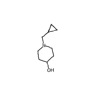 OC1CCN(CC2CC2)CC1